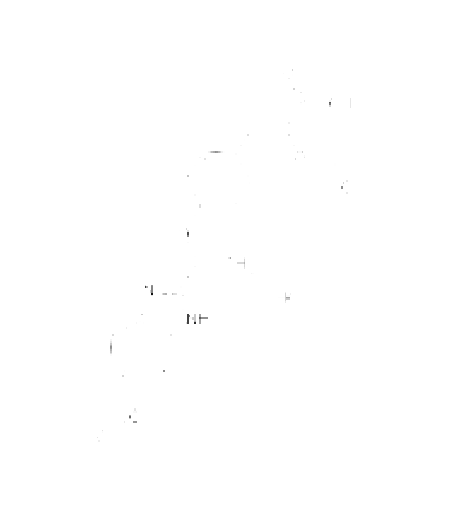 CCOC(Cc1ccc(OC(C)c2nc3ccc(OC)cc3[nH]2)cc1)C(=O)O.Cl